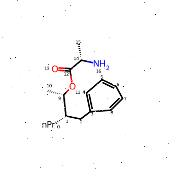 CCC[C@@H](Cc1ccccc1)[C@H](C)OC(=O)[C@H](C)N